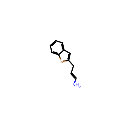 NC=CCc1cc2ccccc2s1